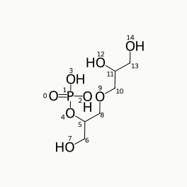 O=P(O)(O)OC(CO)COCC(O)CO